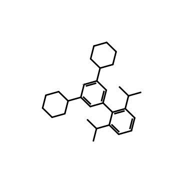 CC(C)c1cccc(C(C)C)c1-c1cc(C2CCCCC2)[c]c(C2CCCCC2)c1